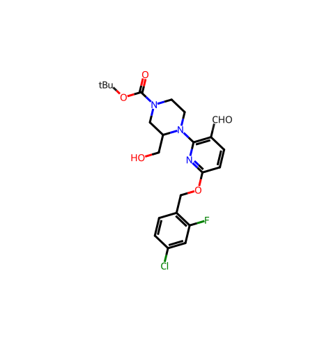 CC(C)(C)OC(=O)N1CCN(c2nc(OCc3ccc(Cl)cc3F)ccc2C=O)C(CO)C1